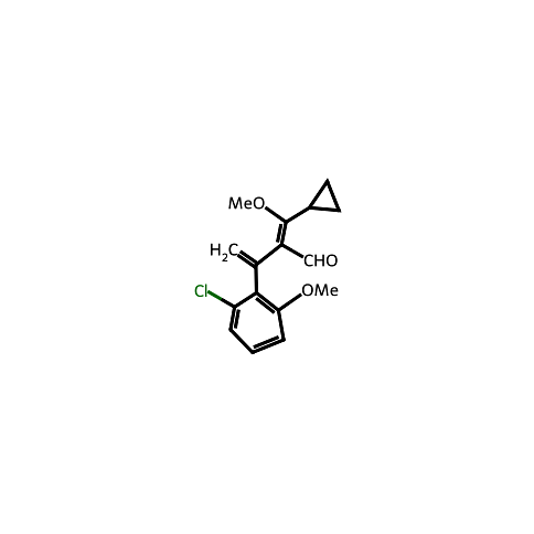 C=C(/C(C=O)=C(\OC)C1CC1)c1c(Cl)cccc1OC